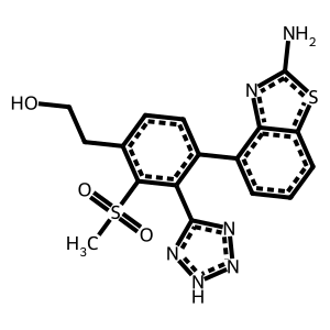 CS(=O)(=O)c1c(CCO)ccc(-c2cccc3sc(N)nc23)c1-c1nn[nH]n1